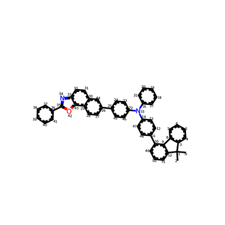 CC1(C)c2ccccc2-c2c(-c3ccc(N(c4ccccc4)c4ccc(-c5ccc6c(ccc7nc(-c8ccccc8)oc76)c5)cc4)cc3)cccc21